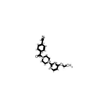 CCOc1ccnc(N2CCN(C(=O)c3ccc(C#N)cc3)CC2)n1